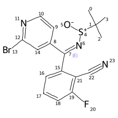 CC(C)(C)[S+]([O-])/N=C(\c1ccnc(Br)c1)c1cccc(F)c1C#N